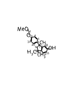 COCOc1ccc(C2(C)CC(C)(C)c3ccc(O)cc32)cc1